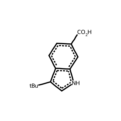 CC(C)(C)c1c[nH]c2cc(C(=O)O)ccc12